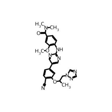 COc1cc(C(=O)N(C)C)ccc1Nc1ncc(-c2ccc(C#N)c(OC(C)Cn3cncn3)c2)cn1